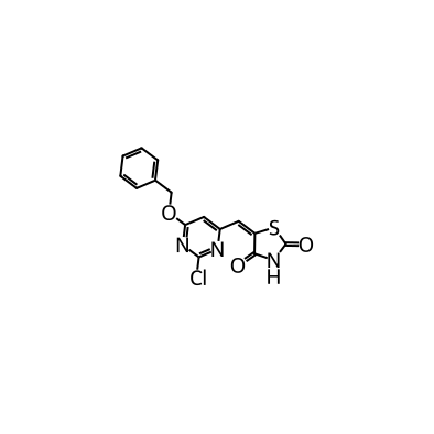 O=C1NC(=O)/C(=C\c2cc(OCc3ccccc3)nc(Cl)n2)S1